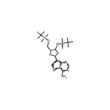 CC(C)(C)[Si](C)(C)OCC1OC(c2cnn3c(N)ncnc23)CC1O[Si](C)(C)C(C)(C)C